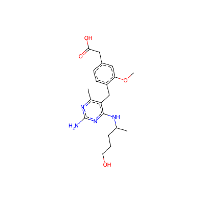 COc1cc(CC(=O)O)ccc1Cc1c(C)nc(N)nc1NC(C)CCCO